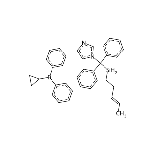 CC=CCC[SiH2]C(c1ccccc1)(c1ccccc1)n1ccnc1.c1ccc(B(c2ccccc2)C2CC2)cc1